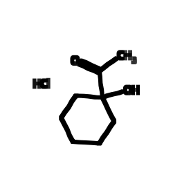 CC(=O)C1(O)CCCCC1.Cl